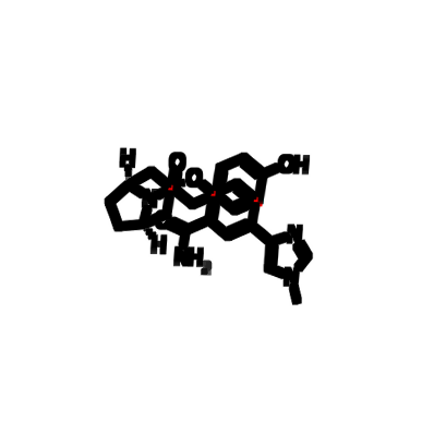 Cn1cnc(-c2ccc(O[C@@H]3C[C@H]4CC[C@@H](C3)N4C(=O)Cc3ccc(O)cc3)c(C(N)=O)c2)c1